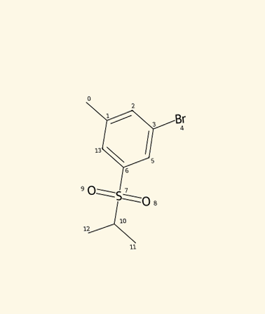 Cc1cc(Br)cc(S(=O)(=O)C(C)C)c1